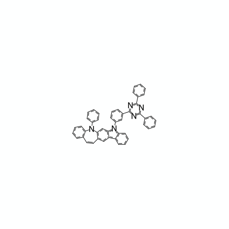 C1=Cc2cc3c4ccccc4n(-c4cccc(-c5nc(-c6ccccc6)nc(-c6ccccc6)n5)c4)c3cc2N(c2ccccc2)c2ccccc21